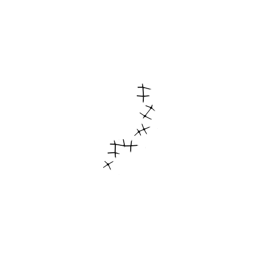 CC(F)(OC(F)(F)C(F)(C(F)(F)F)C(F)(F)C(F)(OC(F)(F)C(F)(OC(F)(F)C(F)(OC(F)(F)C(F)(F)C(F)(F)F)C(F)(F)F)C(F)(F)F)C(F)(F)F)C(F)(F)F